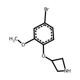 COc1cc(Br)ccc1OC1CNC1